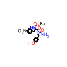 CC(C)(C)OC(=O)NC(Cc1ccc([N+](=O)[O-])cc1)C(=O)N(CCc1ccc(O)cc1)C(N)=O